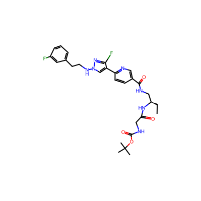 CC[C@H](CNC(=O)c1ccc(-c2cn(NCCc3cccc(F)c3)nc2F)nc1)NC(=O)CNC(=O)OC(C)(C)C